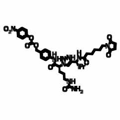 CC(C)[C@H](NC(=O)CCCCCN1C(=O)C=CC1=O)C1=CN([C@@H](CCCNC(N)=O)C(=O)Nc2ccc(COC(=O)Oc3ccc([N+](=O)[O-])cc3)cc2)NN1